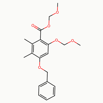 COCOC(=O)c1c(OCOC)cc(OCc2ccccc2)c(C)c1C